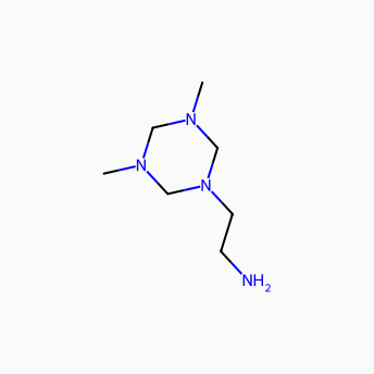 CN1CN(C)CN(CCN)C1